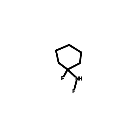 FNC1(F)CCCCC1